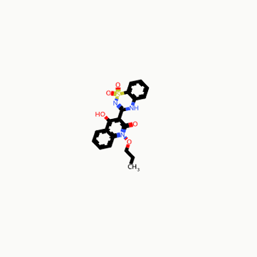 CCCOn1c(=O)c(C2=NS(=O)(=O)c3ccccc3N2)c(O)c2ccccc21